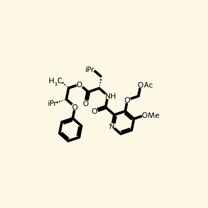 COc1ccnc(C(=O)N[C@@H](CC(C)C)C(=O)O[C@@H](C)[C@H](Oc2ccccc2)C(C)C)c1OCOC(C)=O